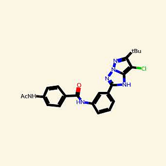 CC(=O)Nc1ccc(C(=O)Nc2cccc(-c3nn4nc(C(C)(C)C)c(Cl)c4[nH]3)c2)cc1